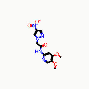 COc1cnc(NC(=O)Cn2cc([N+](=O)[O-])cn2)cc1OC